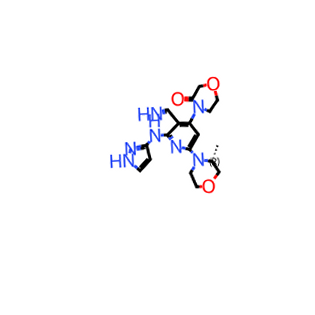 C[C@@H]1COCCN1c1cc(N2CCOCC2=O)c(C=N)c(Nc2cc[nH]n2)n1